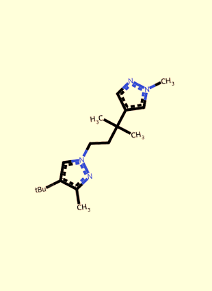 Cc1nn(CCC(C)(C)c2cnn(C)c2)cc1C(C)(C)C